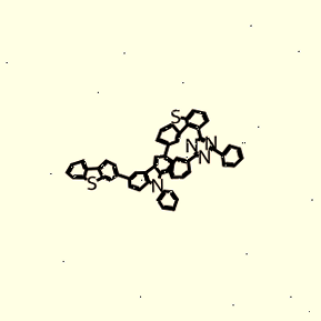 c1ccc(-c2nc(-c3ccccc3)nc(-c3cccc4sc5ccc(-c6ccc7c(c6)c6cc(-c8ccc9c(c8)sc8ccccc89)ccc6n7-c6ccccc6)cc5c34)n2)cc1